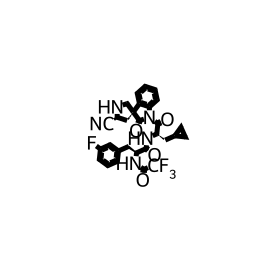 N#C[C@@H]1C[C@@]2(CN1)C(=O)N(C(=O)[C@H](CC1CC1)NC(=O)[C@H](Cc1cccc(F)c1)NC(=O)C(F)(F)F)c1ccccc12